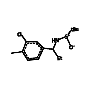 CCC(N[S+]([O-])C(C)(C)C)c1ccc(C)c(Cl)c1